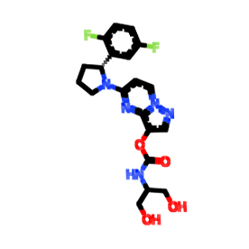 O=C(NC(CO)CO)Oc1cnn2ccc(N3CCC[C@@H]3c3cc(F)ccc3F)nc12